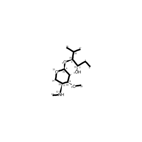 CC[C@H](O)[C@@H](O[C@H]1C[C@H](OC)[C@@H](NC)CO1)C(C)C